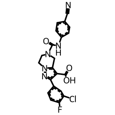 N#Cc1ccc(NC(=O)N2CCn3nc(-c4ccc(F)c(Cl)c4)c(C(=O)O)c3C2)cc1